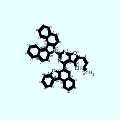 C=C/C=C\c1oc2nc(-n3c4ccc5ccccc5c4c4c5ccccc5ccc43)nc(-c3cc4ccccc4c4c3oc3ccccc34)c2c1C